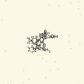 Cn1c(N2CCCCC2)nc(C(N)=O)c1-c1ccc(NS(=O)(=O)CCO)cc1N1CCC2(CC1)CC2